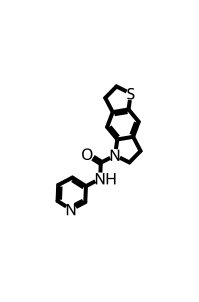 O=C(Nc1cccnc1)N1CCc2cc3c(cc21)CCS3